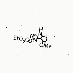 CCOC(=O)Oc1ncc2[nH]c3cccc(OC)c3c2n1